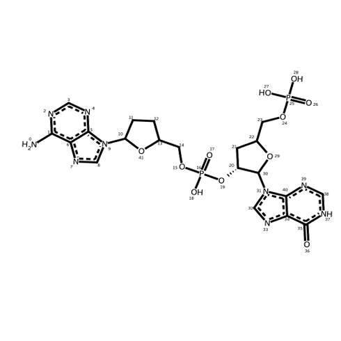 Nc1ncnc2c1ncn2C1CCC(COP(=O)(O)O[C@@H]2CC(COP(=O)(O)O)OC2n2cnc3c(=O)[nH]cnc32)O1